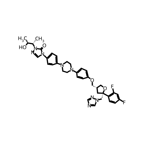 C[C@H](O)[C@H](C)n1ncn(-c2ccc(N3CCN(c4ccc(OC[C@@H]5CO[C@@](Cn6cncn6)(c6ccc(F)cc6F)C5)cc4)CC3)cc2)c1=O